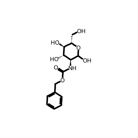 O=C(N[C@@H]1C(O)O[C@@H](CO)[C@H](O)[C@H]1O)OCc1ccccc1